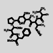 CCC(C)C(C(CC(=O)N1CCC[C@H]1C(OC)C(C)C(=O)NC(Cc1ccccc1)C(=O)OC)OC)N(C)C(=O)C(NC(=O)C(C(C)C)N(C)C)C(C)N=[N+]=[N-]